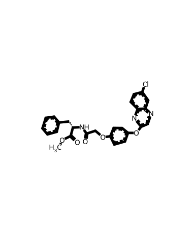 COC(=O)[C@H](Cc1ccccc1)NC(=O)COc1ccc(Oc2cnc3cc(Cl)ccc3n2)cc1